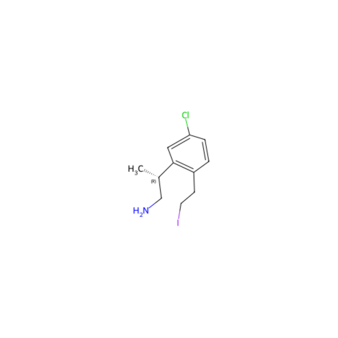 C[C@@H](CN)c1cc(Cl)ccc1CCI